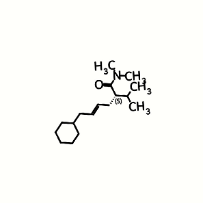 CC(C)[C@H](CC=CCC1CCCCC1)C(=O)N(C)C